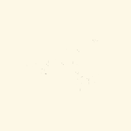 COc1cnc(O[C@@H]2C[C@H]3C(=O)N[C@]4(C(=O)NS(=O)(=O)C5CC5)C[C@H]4/C=C\C(C)CCC[C@@H](C)[C@H](NC(=O)OC(C)(C)C)C(=O)N3C2)c2cccc(Cl)c12